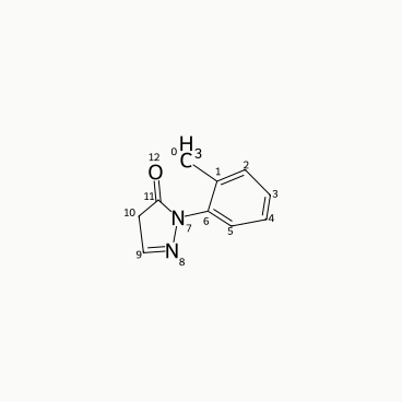 Cc1ccccc1N1N=CCC1=O